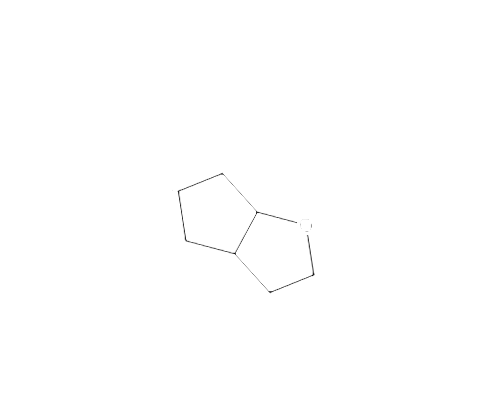 [CH]1CC2CCOC2C1